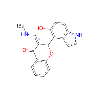 CC(C)(C)N/C=C1\C(=O)c2ccccc2OC1c1c(O)ccc2[nH]ccc12